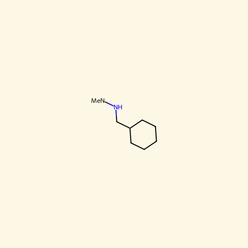 CNNCC1CCCCC1